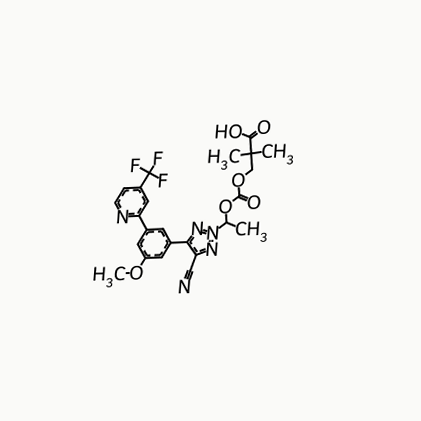 COc1cc(-c2cc(C(F)(F)F)ccn2)cc(-c2nn(C(C)OC(=O)OCC(C)(C)C(=O)O)nc2C#N)c1